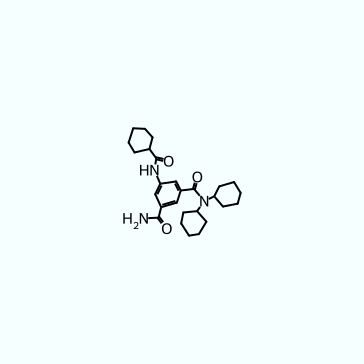 NC(=O)c1cc(NC(=O)C2CCCCC2)cc(C(=O)N(C2CCCCC2)C2CCCCC2)c1